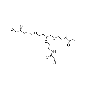 O=C(CCl)NCCOCCC(COCCNC(=O)CCl)OCCNC(=O)CCl